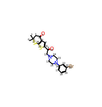 CC1(C)CC(=O)c2cc(C(=O)CN3CCN(c4cccc(Br)c4)CC3)sc2S1